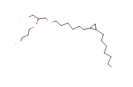 CCCCCCCC1CC1CCCCCCOCC(CC)OCCCC